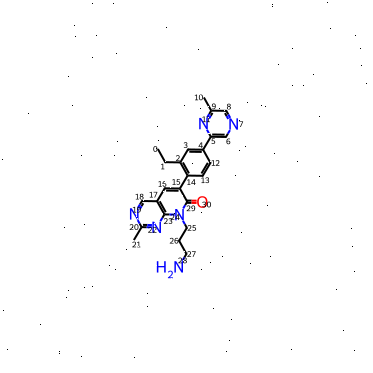 CCc1cc(-c2cncc(C)n2)ccc1-c1cc2cnc(C)nc2n(CCCN)c1=O